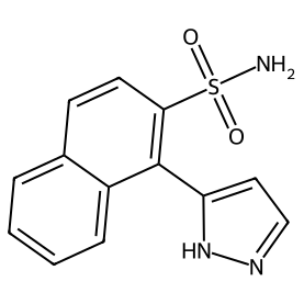 NS(=O)(=O)c1ccc2ccccc2c1-c1ccn[nH]1